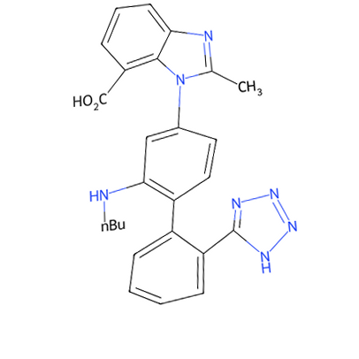 CCCCNc1cc(-n2c(C)nc3cccc(C(=O)O)c32)ccc1-c1ccccc1-c1nnn[nH]1